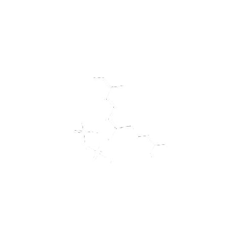 CC=C(C)C=CC=C(C)CCC=C(C)C.O=P(O)(O)OP(=O)(O)O